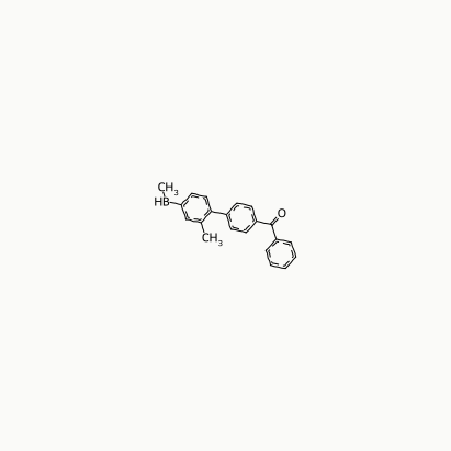 CBc1ccc(-c2ccc(C(=O)c3ccccc3)cc2)c(C)c1